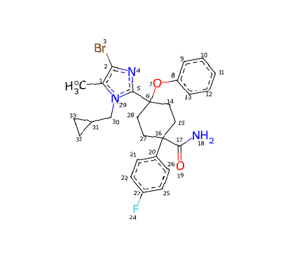 Cc1c(Br)nc(C2(Oc3ccccc3)CCC(C(N)=O)(c3ccc(F)cc3)CC2)n1CC1CC1